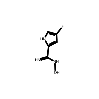 N=C(NO)c1cc(F)c[nH]1